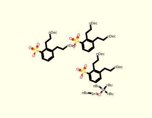 CCCCCCCCCCCCc1cccc(S(=O)(=O)[O-])c1CCCCCCCCCCCC.CCCCCCCCCCCCc1cccc(S(=O)(=O)[O-])c1CCCCCCCCCCCC.CCCCCCCCCCCCc1cccc(S(=O)(=O)[O-])c1CCCCCCCCCCCC.CCC[CH2][Sn+2][O][Sn]([CH2]CCC)([CH2]CCC)[CH2]CCC